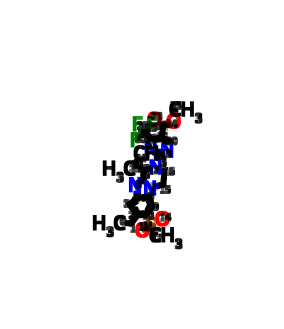 CCc1cc2nc3n(c2cc1S(C)(=O)=O)CCN(c1ncc(C(=O)OC)c(C(F)(F)F)n1)[C@@H]3C(C)C